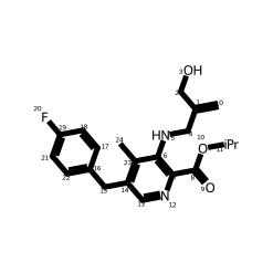 C=C(CO)CNc1c(C(=O)OC(C)C)ncc(Cc2ccc(F)cc2)c1C